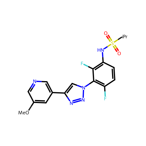 COc1cncc(-c2cn(-c3c(F)ccc(NS(=O)(=O)C(C)C)c3F)nn2)c1